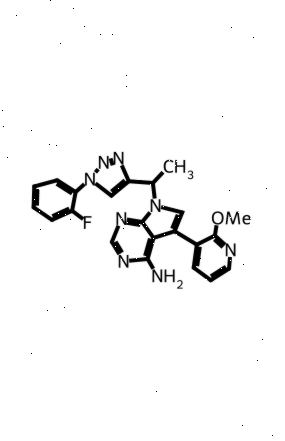 COc1ncccc1-c1cn(C(C)c2cn(-c3ccccc3F)nn2)c2ncnc(N)c12